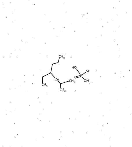 CCC[CH](CC)[Zn][CH](C)C.OP(O)(=S)S